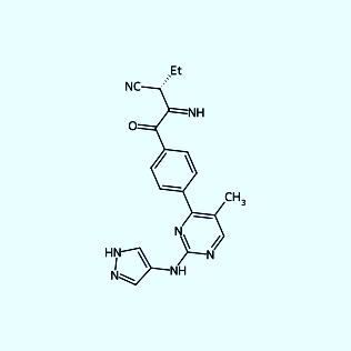 CC[C@@H](C#N)C(=N)C(=O)c1ccc(-c2nc(Nc3cn[nH]c3)ncc2C)cc1